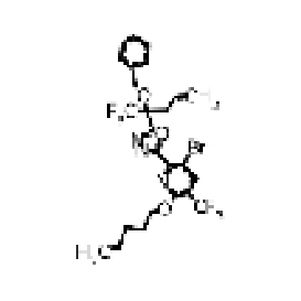 C=CCCCOc1nc(-c2nnc(C(CC=C)(OCc3ccccc3)C(F)(F)F)o2)c(Br)cc1C(F)(F)F